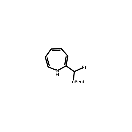 CCCCCC(CC)C1=CC=CC=CN1